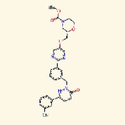 CC(C)(C)OC(=O)N1CCO[C@@H](COc2cnc(-c3cccc(Cn4nc(-c5cccc(C#N)c5)ccc4=O)c3)nc2)C1